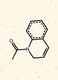 CC(=O)N1CC=Cc2ccccc21